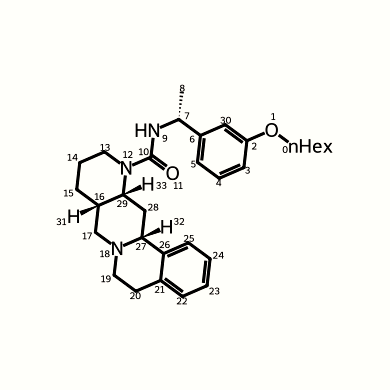 CCCCCCOc1cccc([C@@H](C)NC(=O)N2CCC[C@H]3CN4CCc5ccccc5[C@H]4C[C@H]32)c1